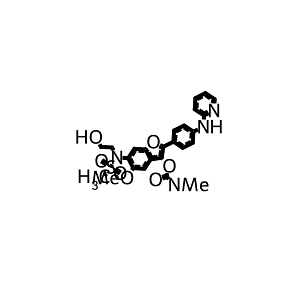 CNC(=O)Oc1c(-c2ccc(Nc3ccccn3)cc2)oc2cc(N(CCO)S(C)(=O)=O)c(OC)cc12